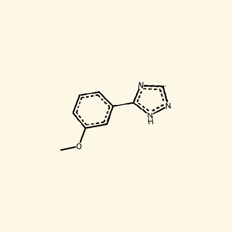 COc1cccc(-c2n[c]n[nH]2)c1